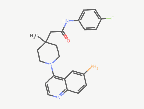 CC1(CC(=O)Nc2ccc(F)cc2)CCN(c2ccnc3ccc(P)cc23)CC1